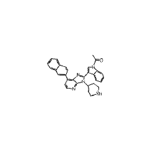 CC(=O)n1cc(-c2nc3c(-c4ccc5ccccc5c4)ccnc3n2C2CCNCC2)c2ccccc21